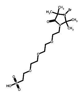 CC1(C)C(=O)N(CCOCCOCCOCCS(=O)(=O)O)C(C)(C)N1Br